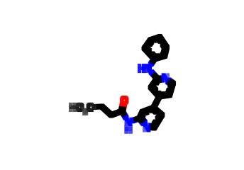 O=C(O)CCC(=O)Nc1cc(-c2ccnc(Nc3ccccc3)c2)ccn1